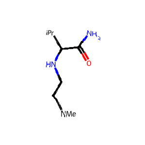 CNCCNC(C(N)=O)C(C)C